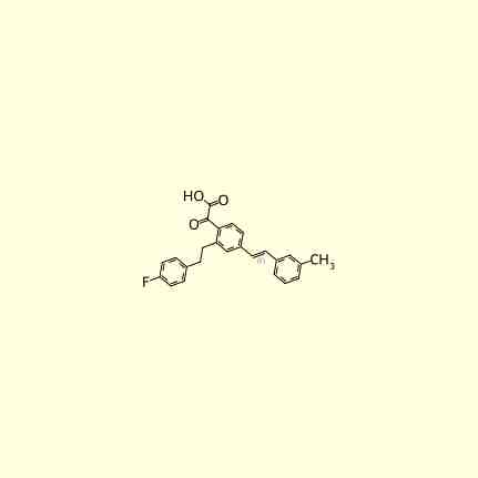 Cc1cccc(/C=C/c2ccc(C(=O)C(=O)O)c(CCc3ccc(F)cc3)c2)c1